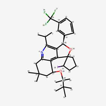 CC(C)c1nc2c(c3c1[C@@H](c1cccc(C(F)(F)F)c1)OC31CCCC1I)C(O[Si](C)(C)C(C)(C)C)CC(C)(C)C2